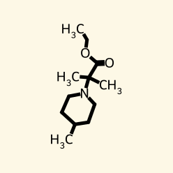 CCOC(=O)C(C)(C)N1CCC(C)CC1